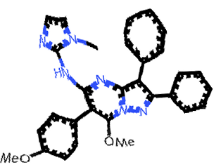 COc1ccc(-c2c(Nc3nccn3C)nc3c(-c4ccccc4)c(-c4ccccc4)nn3c2OC)cc1